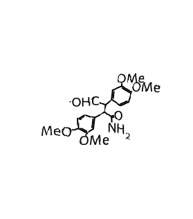 COc1ccc(C([C]=O)[C@@H](C(N)=O)c2ccc(OC)c(OC)c2)cc1OC